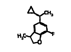 CC1COc2c(F)cc(C(C)C3CC3)cc21